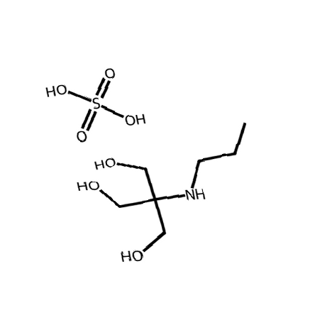 CCCNC(CO)(CO)CO.O=S(=O)(O)O